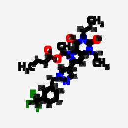 CCCC(=O)OC(C)n1c(-c2cnn(Cc3cccc(C(F)(F)F)c3)c2)cc2c1c(=O)n(CCC)c(=O)n2CC